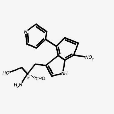 N[C@@](C=O)(CO)Cc1c[nH]c2c([N+](=O)[O-])ccc(-c3ccncc3)c12